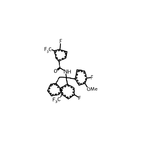 COc1cc(C(Cc2ccccc2)(NC(=O)c2ccc(F)c(C(F)(F)F)c2)c2cc(F)cc(C(F)(F)F)c2)ccc1F